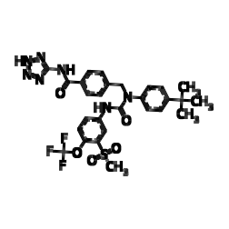 CC(C)(C)c1ccc(N(Cc2ccc(C(=O)Nc3nn[nH]n3)cc2)C(=O)Nc2ccc(OC(F)(F)F)c(S(C)(=O)=O)c2)cc1